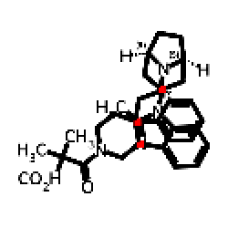 Cc1nc2ccccc2n1[C@H]1C[C@H]2CC[C@@H](C1)N2CCC1(c2ccccc2)CCN(C(=O)C(C)(C)C(=O)O)CC1